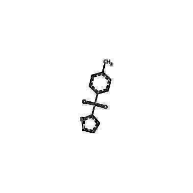 Cc1ccc(S(=O)(=O)c2ccco2)cc1